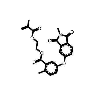 C=C(C)C(=O)OCCOC(=O)c1cc(Oc2ccc3c(c2)C(=O)N(C)C3=O)ccc1C